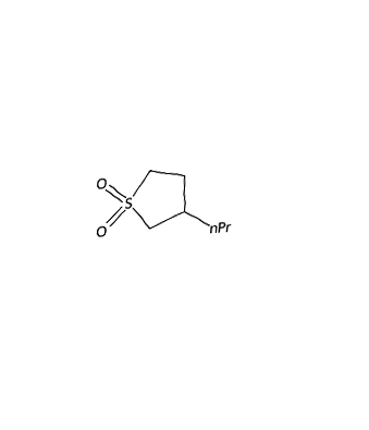 CCCC1CCS(=O)(=O)C1